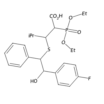 CCOP(=O)(OCC)C(C(=O)O)C(SC(c1ccccc1)C(O)c1ccc(F)cc1)C(C)C